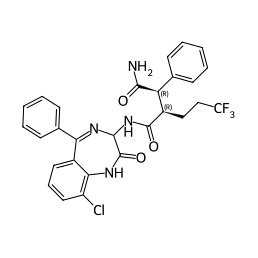 NC(=O)[C@@H](c1ccccc1)[C@@H](CCC(F)(F)F)C(=O)NC1N=C(c2ccccc2)c2cccc(Cl)c2NC1=O